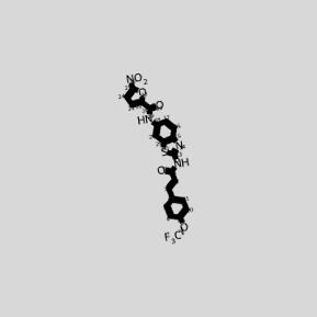 O=C(C=Cc1ccc(OC(F)(F)F)cc1)Nc1nc2ccc(NC(=O)c3ccc([N+](=O)[O-])o3)cc2s1